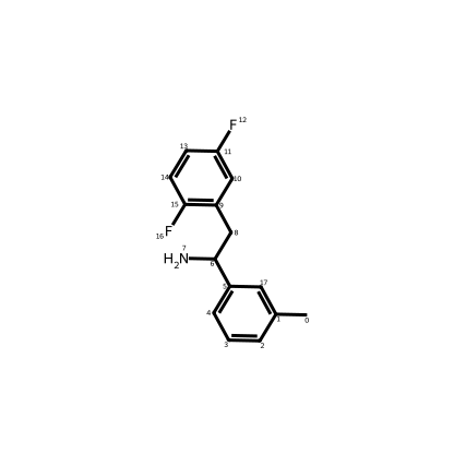 Cc1cccc(C(N)Cc2cc(F)ccc2F)c1